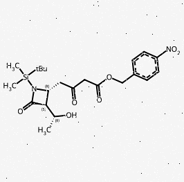 C[C@@H](O)[C@H]1C(=O)N([Si](C)(C)C(C)(C)C)[C@@H]1CC(=O)CC(=O)OCc1ccc([N+](=O)[O-])cc1